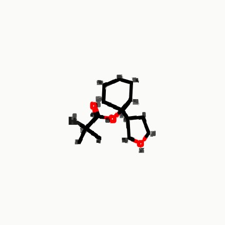 CCC(C)(C)C(=O)OC1(C2CCOC2)CCCCC1